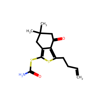 C=CCCc1sc(SC(N)=O)c2c1C(=O)CC(C)(C)C2